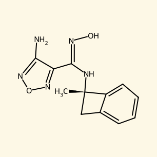 C[C@]1(N/C(=N\O)c2nonc2N)Cc2ccccc21